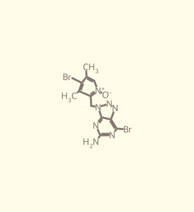 Cc1c[n+]([O-])c(Cn2nnc3c(Br)nc(N)nc32)c(C)c1Br